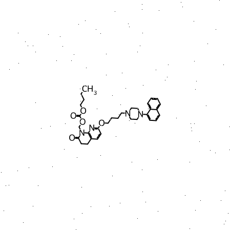 CCCCOC(=O)OCN1C(=O)CCc2ccc(OCCCCN3CCN(c4cccc5ccccc45)CC3)nc21